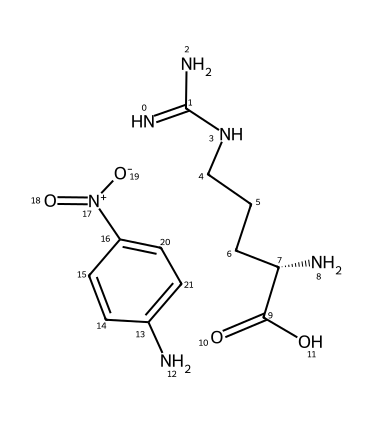 N=C(N)NCCC[C@H](N)C(=O)O.Nc1ccc([N+](=O)[O-])cc1